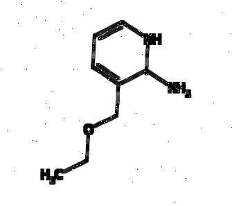 CCOCC1=CC=CN[C]1N